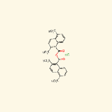 Cl.O=C(O)c1ccc2c(C(=O)O)cccc2c1C(=O)OC(=O)c1c(C(=O)O)ccc2c(C(=O)O)cccc12